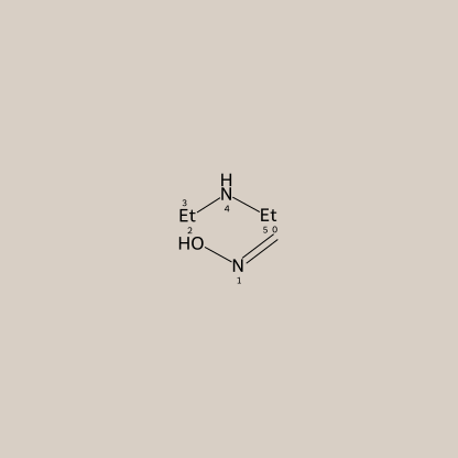 C=NO.CCNCC